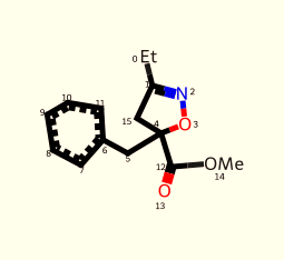 CCC1=NOC(Cc2ccccc2)(C(=O)OC)C1